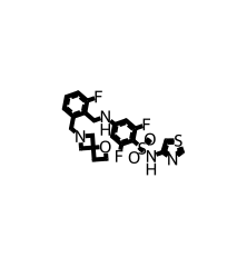 O=S(=O)(Nc1cscn1)c1c(F)cc(NCc2c(F)cccc2CN2CC3(CCO3)C2)cc1F